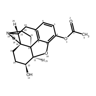 CC(=O)Oc1ccc2c3c1O[C@H]1[C@@H](O)CC[C@]45OCN(CC[C@]314)[C@@H]5C2